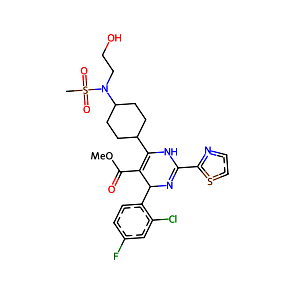 COC(=O)C1=C(C2CCC(N(CCO)S(C)(=O)=O)CC2)NC(c2nccs2)=NC1c1ccc(F)cc1Cl